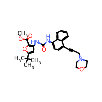 COC(=O)c1oc(C(C)(C)C)cc1NC(=O)Nc1ccc(C#CCN2CCOCC2)c2ccccc12